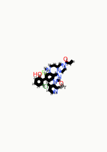 C=CC(=O)N1CCN2c3nc(=O)n(-c4c(C)ccnc4C(C)C)c4cc(-c5c(O)cccc5Cl)c(F)c(c34)N(C)CCC2C1